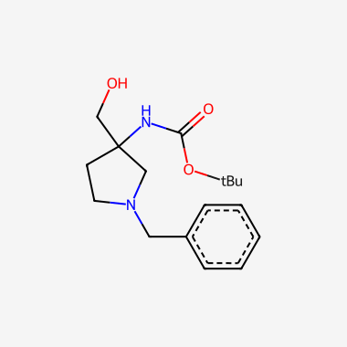 CC(C)(C)OC(=O)NC1(CO)CCN(Cc2ccccc2)C1